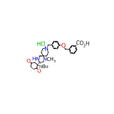 CCCCC1([C@H]2CN(C)C3(CCN(Cc4ccc(OCc5cccc(C(=O)O)c5)cc4)CC3)CN2)CC(=O)CCC1=O.Cl